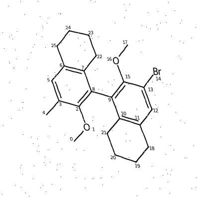 COc1c(C)cc2c(c1-c1c3c(cc(Br)c1OC)CCCC3)CCCC2